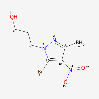 Bc1nn(CCCO)c(Br)c1[N+](=O)[O-]